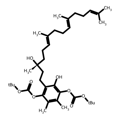 CC(C)=CCC/C(C)=C/CC/C(C)=C/CC[C@@](C)(O)CCc1c(O)c(OC(=O)OC(C)(C)C)c(C)c(C)c1OC(=O)OC(C)(C)C